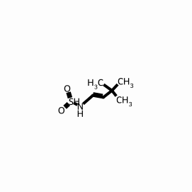 CC(C)(C)C=CN[SH](=O)=O